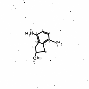 CC(=O)OC1Cc2c(N)ccc(N)c2C1